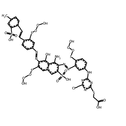 Cc1ccc(C=Cc2ccc(N=Nc3c(SOOO)cc4cc(S(=O)(=O)O)c(N=Nc5cc(Nc6nc(Cl)nc(SCC(=O)O)n6)ccc5SOOO)c(N)c4c3O)cc2SOOO)c(S(=O)(=O)O)c1